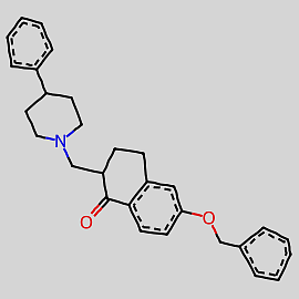 O=C1c2ccc(OCc3ccccc3)cc2CCC1CN1CCC(c2ccccc2)CC1